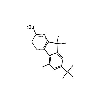 Cc1cc(C(C)(C)I)cc2c1C1=C(C=C(C(C)(C)C)CC1)C2(C)C